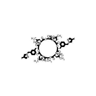 CC(C)C[C@H]1C(=O)O[C@H](Cc2cccc(Cn3cc(I)cn3)c2)C(=O)N(C)[C@@H](CC(C)C)C(=O)O[C@H](C)C(=O)N(C)[C@@H](CC(C)C)C(=O)O[C@H](Cc2cccc(Cn3cc(I)cn3)c2)C(=O)N(C)[C@@H](CC(C)C)C(=O)O[C@H](C)C(=O)N1C